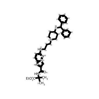 CCOC(=O)C(C)(C)NC(=O)c1cn2nc(NCCCN3CCC(OC(c4ccccc4)c4ccccc4)CC3)ccc2n1